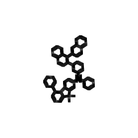 CC1(C)c2cc(N(c3ccccc3)c3cccc(-c4ccc5ccccc5c4-c4ccc5ccccc5c4)c3)ccc2-c2c(-c3ccccc3)cccc21